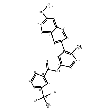 CNc1cc2ncc(-c3cc(NC(=O)c4ccnc(C(C)(F)F)c4)cnc3C)cc2cn1